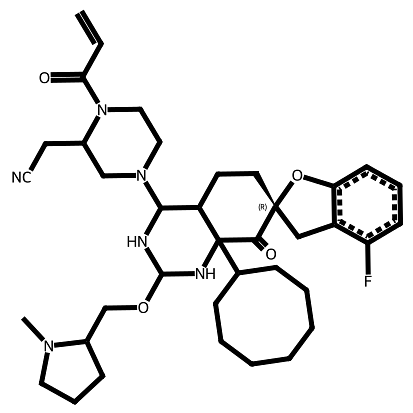 C=CC(=O)N1CCN(C2NC(OCC3CCCN3C)NC3(C4CCCCCCC4)C(=O)[C@@]4(CCC23)Cc2c(F)cccc2O4)CC1CC#N